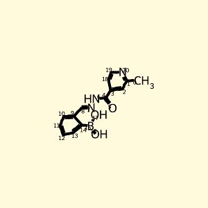 Cc1cc(C(=O)NN=Cc2ccccc2B(O)O)ccn1